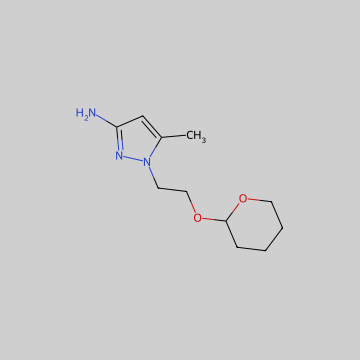 Cc1cc(N)nn1CCOC1CCCCO1